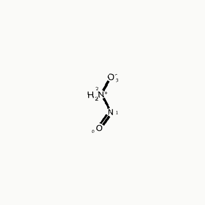 O=N[NH2+][O-]